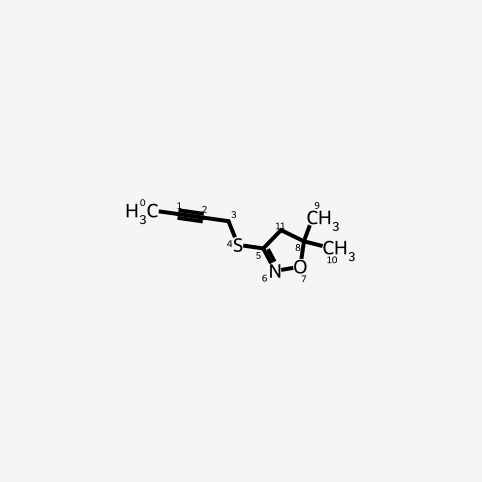 CC#CCSC1=NOC(C)(C)C1